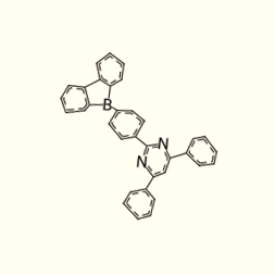 c1ccc(-c2cc(-c3ccccc3)nc(-c3ccc(B4c5ccccc5-c5ccccc54)cc3)n2)cc1